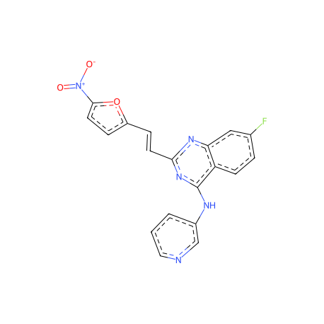 O=[N+]([O-])c1ccc(C=Cc2nc(Nc3cccnc3)c3ccc(F)cc3n2)o1